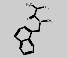 CC(C)C(=O)N(C)Cc1cccc2ccccc12